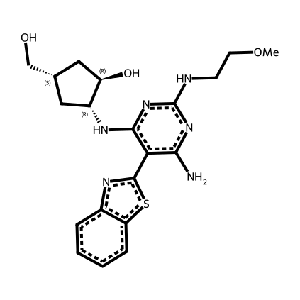 COCCNc1nc(N)c(-c2nc3ccccc3s2)c(N[C@@H]2C[C@H](CO)C[C@H]2O)n1